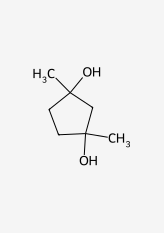 CC1(O)CCC(C)(O)C1